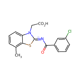 Cc1cccc2c1s/c(=N\C(=O)c1cccc(Cl)c1)n2CC(=O)O